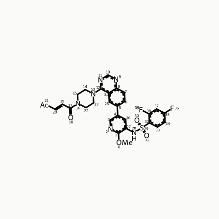 COc1ncc(-c2ccc3ncnc(N4CCN(C(=O)/C=C/C(C)=O)CC4)c3c2)cc1NS(=O)(=O)c1ccc(F)cc1F